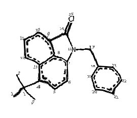 CC(C)(C)c1ccc2c3c(cccc13)C(=O)N2Cc1ccccc1